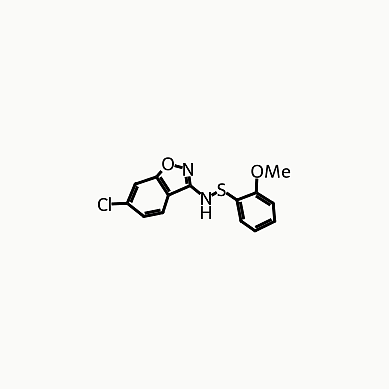 COc1ccccc1SNc1noc2cc(Cl)ccc12